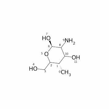 C[C@@H]1C(CO)O[C@@H](O)C(N)C1O